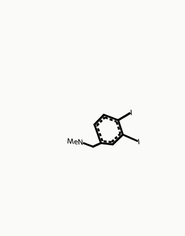 CNCc1ccc(I)c(I)c1